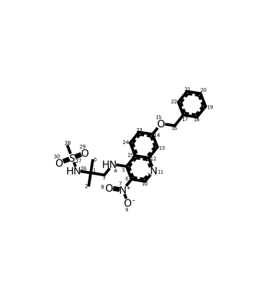 CC(C)(CNc1c([N+](=O)[O-])cnc2cc(OCc3ccccc3)ccc12)NS(C)(=O)=O